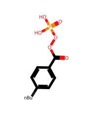 CCCCc1ccc(C(=O)OOP(=O)(O)O)cc1